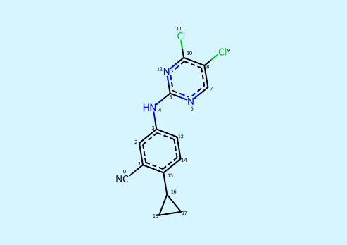 N#Cc1cc(Nc2ncc(Cl)c(Cl)n2)ccc1C1CC1